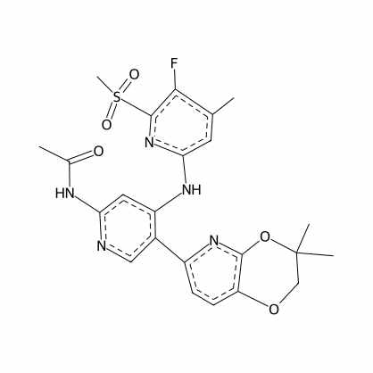 CC(=O)Nc1cc(Nc2cc(C)c(F)c(S(C)(=O)=O)n2)c(-c2ccc3c(n2)OC(C)(C)CO3)cn1